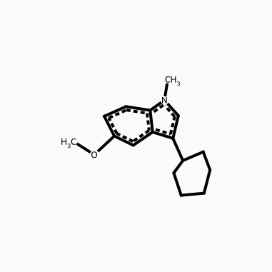 COc1ccc2c(c1)c(C1CCCCC1)cn2C